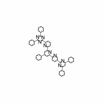 c1ccc(-c2cc(-c3ccc(-c4nc(-c5ccccc5)cc(-c5ccccc5)n4)cn3)nc(-c3cccc(-c4nc(-c5ccccc5)nc(-c5ccccc5)n4)n3)c2)cc1